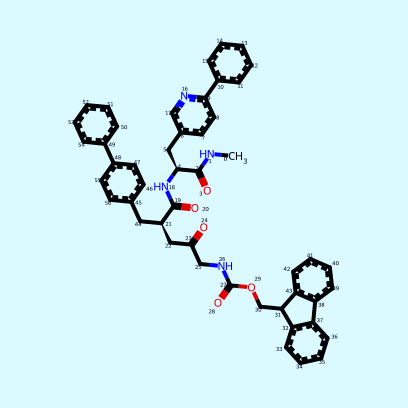 CNC(=O)[C@H](Cc1ccc(-c2ccccc2)nc1)NC(=O)[C@@H](CC(=O)CNC(=O)OCC1c2ccccc2-c2ccccc21)Cc1ccc(-c2ccccc2)cc1